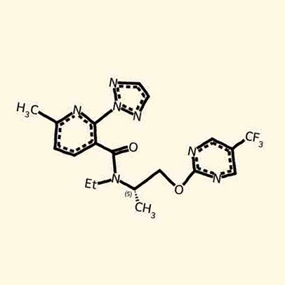 CCN(C(=O)c1ccc(C)nc1-n1nccn1)[C@@H](C)COc1ncc(C(F)(F)F)cn1